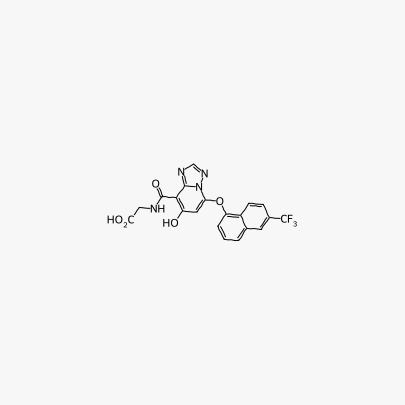 O=C(O)CNC(=O)c1c(O)cc(Oc2cccc3cc(C(F)(F)F)ccc23)n2ncnc12